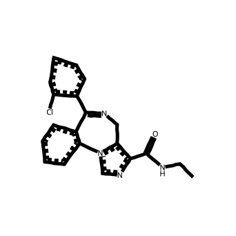 CCNC(=O)c1ncn2c1CN=C(c1ccccc1Cl)c1ccccc1-2